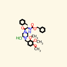 COc1ccc(CN2CCN(C(=O)[C@H](Cc3ccccc3)NC(=O)OCc3ccccc3)CC2)c(OC)c1OC.Cl